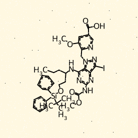 CCCC(CCO[Si](c1ccccc1)(c1ccccc1)C(C)(C)C)Nc1nc(NC(=O)OC)nc2c(I)nn(Cc3ncc(C(=O)O)cc3OC)c12